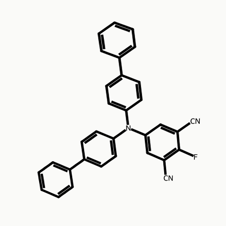 N#Cc1cc(N(c2ccc(-c3ccccc3)cc2)c2ccc(-c3ccccc3)cc2)cc(C#N)c1F